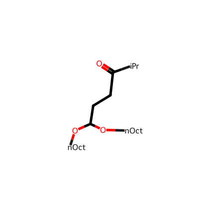 CCCCCCCCOC(CCC(=O)C(C)C)OCCCCCCCC